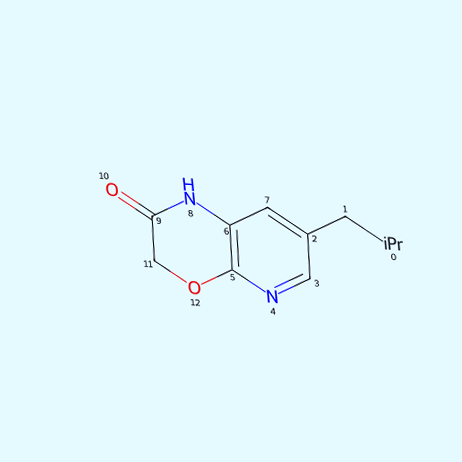 CC(C)Cc1cnc2c(c1)NC(=O)CO2